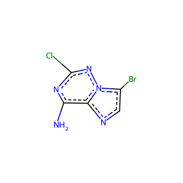 Nc1nc(Cl)nn2c(Br)cnc12